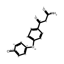 NC(=O)CC(=O)c1ccc(Oc2ccc(Cl)cc2)cc1